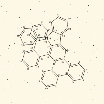 c1ccc(-c2ccccc2-c2nc(-c3ccccc3-c3ccccc3)c3c(n2)c2ccccc2n3-c2ccccc2)cc1